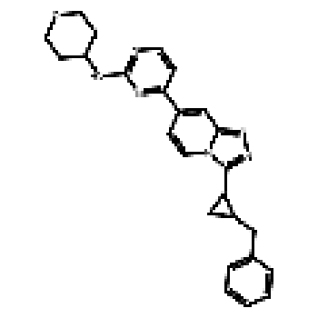 c1ccc(CC2CC2c2nnc3cc(-c4ccnc(NC5CCOCC5)n4)ccn23)cc1